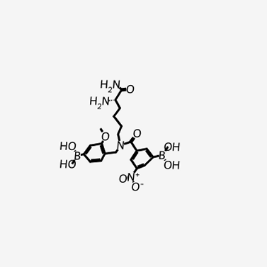 COc1cc(B(O)O)ccc1CN(CCCC[C@H](N)C(N)=O)C(=O)c1cc(B(O)O)cc([N+](=O)[O-])c1